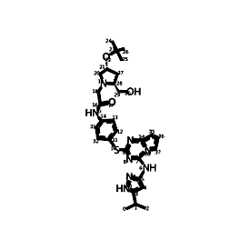 CC(C)c1cc(Nc2nc(Sc3ccc(NC(=O)CN4C[C@H](OC(C)(C)C)C[C@H]4CO)cc3)nc3cccn23)n[nH]1